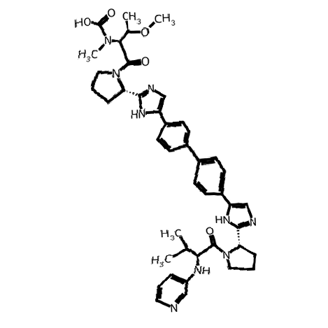 CO[C@H](C)[C@@H](C(=O)N1CCC[C@H]1c1ncc(-c2ccc(-c3ccc(-c4cnc([C@@H]5CCCN5C(=O)[C@@H](Nc5cccnc5)C(C)C)[nH]4)cc3)cc2)[nH]1)N(C)C(=O)O